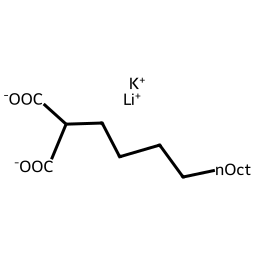 CCCCCCCCCCCCC(C(=O)[O-])C(=O)[O-].[K+].[Li+]